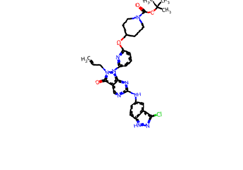 C=CCn1c(=O)c2cnc(Nc3ccc4[nH]nc(Cl)c4c3)nc2n1-c1cccc(OC2CCN(C(=O)OC(C)(C)C)CC2)n1